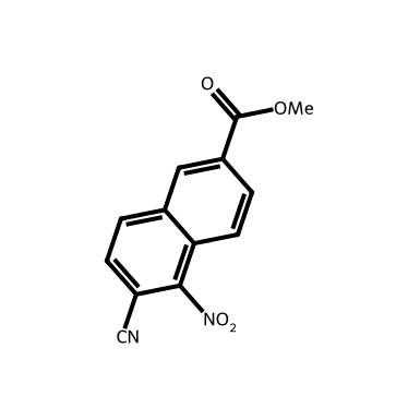 COC(=O)c1ccc2c([N+](=O)[O-])c(C#N)ccc2c1